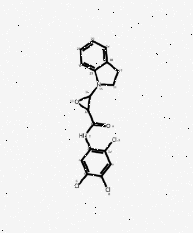 O=C(Nc1cc(Cl)c(Cl)cc1Cl)C1OC1N1CCc2ccccc21